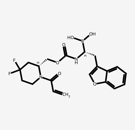 C=CC(=O)N1CCC(F)(F)C[C@@H]1COC(=O)N[C@@H](Cc1coc2ccccc12)B(O)O